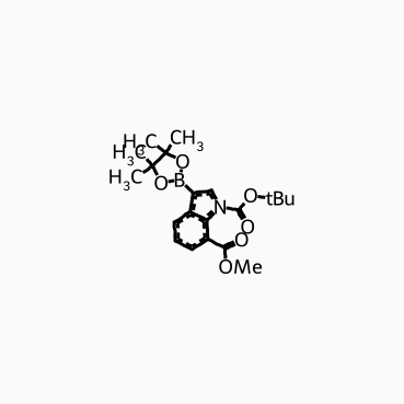 COC(=O)c1cccc2c(B3OC(C)(C)C(C)(C)O3)cn(C(=O)OC(C)(C)C)c12